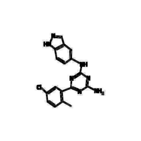 Cc1ccc(Cl)cc1-c1nc(N)nc(Nc2ccc3[nH]ncc3c2)n1